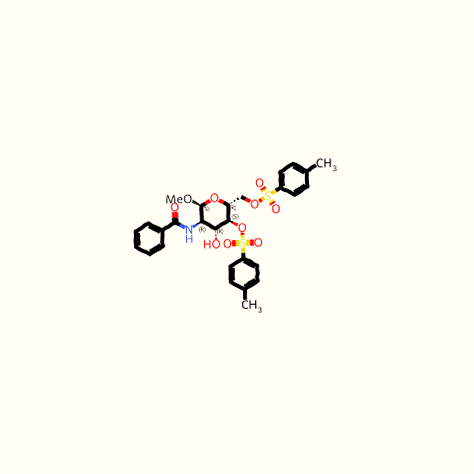 CO[C@H]1O[C@H](COS(=O)(=O)c2ccc(C)cc2)[C@@H](OS(=O)(=O)c2ccc(C)cc2)[C@H](O)[C@H]1NC(=O)c1ccccc1